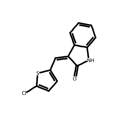 O=C1Nc2ccccc2C1=Cc1ccc(Cl)s1